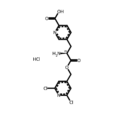 Cl.N[C@@H](Cc1ccc(C(=O)O)nc1)C(=O)OCc1cc(Cl)nc(Cl)c1